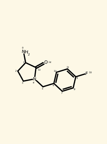 NC1CCN(Cc2ccc(F)cc2)C1=O